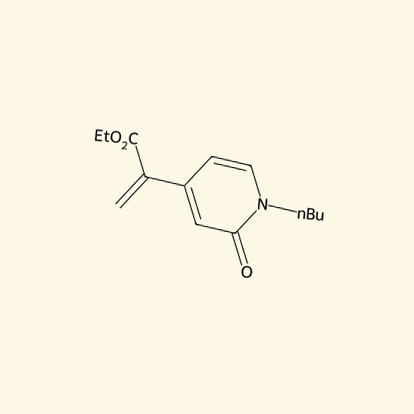 C=C(C(=O)OCC)c1ccn(CCCC)c(=O)c1